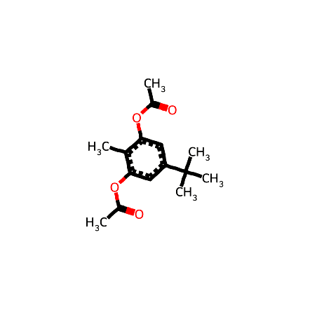 CC(=O)Oc1cc(C(C)(C)C)cc(OC(C)=O)c1C